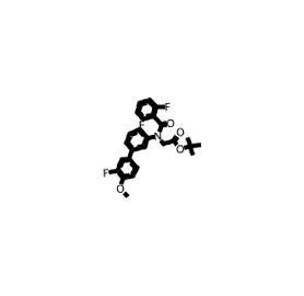 COc1ccc(-c2cccc(N(CC(=O)OC(C)(C)C)C(=O)c3c(F)cccc3F)c2)cc1F